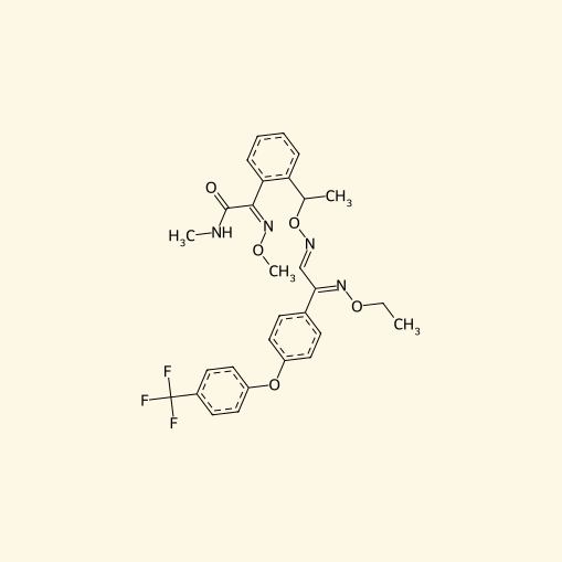 CCON=C(C=NOC(C)c1ccccc1C(=NOC)C(=O)NC)c1ccc(Oc2ccc(C(F)(F)F)cc2)cc1